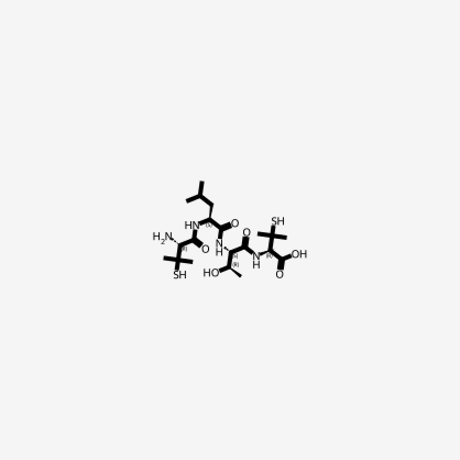 CC(C)C[C@H](NC(=O)[C@@H](N)C(C)(C)S)C(=O)N[C@H](C(=O)N[C@H](C(=O)O)C(C)(C)S)[C@@H](C)O